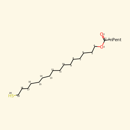 CCCCCC(=O)OCCCCCCCCCCCCCCCCS